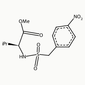 COC(=O)[C@@H](NS(=O)(=O)Cc1ccc([N+](=O)[O-])cc1)C(C)C